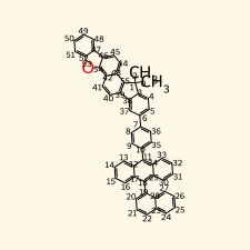 CC1(C)c2ccc(-c3ccc(-c4c5ccccc5c(-c5cccc6ccccc56)c5ccccc45)cc3)cc2-c2ccc3c(ccc4c5ccccc5oc34)c21